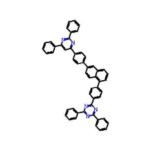 c1ccc(-c2cc(-c3ccc(-c4ccc5c(-c6ccc(-c7nc(-c8ccccc8)nc(-c8ccccc8)n7)cc6)cccc5c4)cc3)nc(-c3ccccc3)n2)cc1